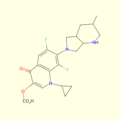 CC1CNC2CN(c3c(F)cc4c(=O)c(OC(=O)O)cn(C5CC5)c4c3F)CC2C1